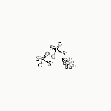 O=P([O-])([S-])[S-].O=P([O-])([S-])[S-].[Ba+2].[Ba+2].[Ba+2]